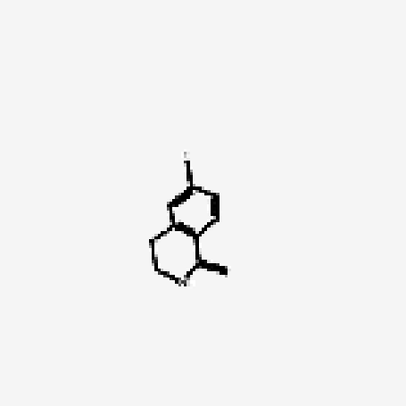 C=C1NCCc2cc(F)ccc21